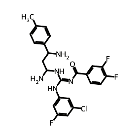 Cc1ccc(C(N)CC(N)N/C(=N\C(=O)c2ccc(F)c(F)c2)Nc2cc(F)cc(Cl)c2)cc1